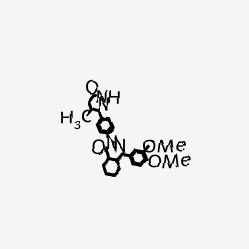 COc1ccc(C2=NN(c3ccc(C4=NNC(=O)CC4C)cc3)C(=O)C3CC=CCC23)cc1OC